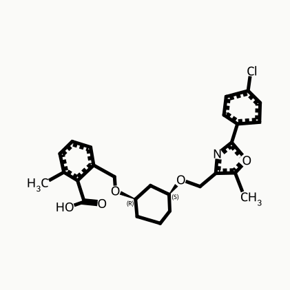 Cc1cccc(CO[C@@H]2CCC[C@H](OCc3nc(-c4ccc(Cl)cc4)oc3C)C2)c1C(=O)O